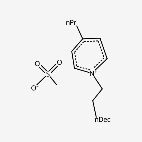 CCCCCCCCCCCC[n+]1ccc(CCC)cc1.CS(=O)(=O)[O-]